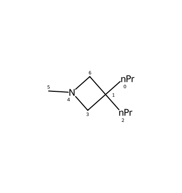 CCCC1(CCC)CN(C)C1